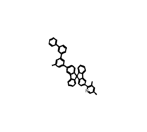 Cc1cc(-c2cccc(-c3ccccc3)c2)cc(-c2ccc3c(c2)-c2ccccc2C32c3ccccc3-c3cc(-c4ncc(C)cc4C)ccc32)c1